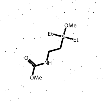 CC[Si](CC)(CCNC(=O)OC)OC